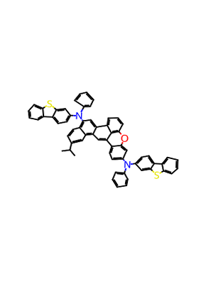 CC(C)c1ccc2c(N(c3ccccc3)c3ccc4c(c3)sc3ccccc34)cc3c4cccc5c4c(cc3c2c1)-c1ccc(N(c2ccccc2)c2ccc3c(c2)sc2ccccc23)cc1O5